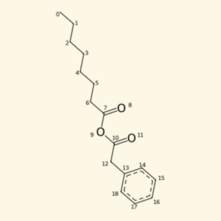 CCCCCCCC(=O)OC(=O)Cc1ccccc1